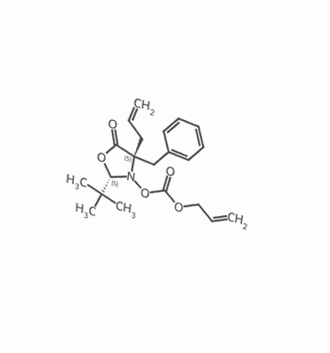 C=CCOC(=O)ON1[C@H](C(C)(C)C)OC(=O)[C@]1(CC=C)Cc1ccccc1